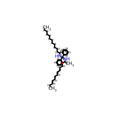 CCCCCCCCCCCCC(C)NC(NC(C)CCCCCCCCCCCC)(c1ccccc1)c1ccccc1